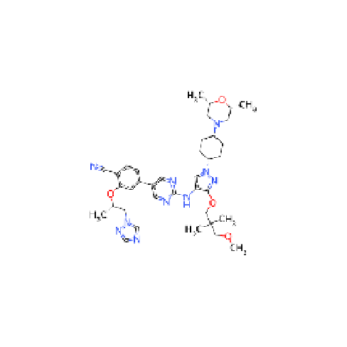 COCC(C)(C)COc1nn([C@H]2CC[C@H](N3C[C@@H](C)O[C@@H](C)C3)CC2)cc1Nc1ncc(-c2ccc(C#N)c(O[C@@H](C)Cn3cncn3)c2)cn1